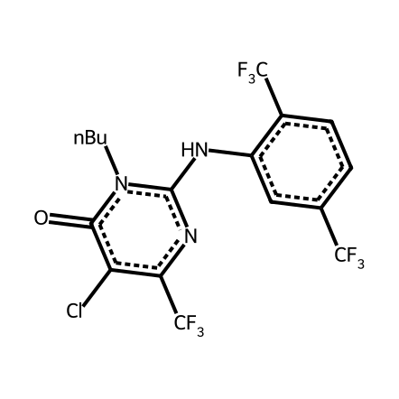 CCCCn1c(Nc2cc(C(F)(F)F)ccc2C(F)(F)F)nc(C(F)(F)F)c(Cl)c1=O